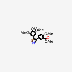 COC(=O)c1cc(-c2cnsc2-c2cc(OC)c(OC)c(OC)c2)ccc1OC